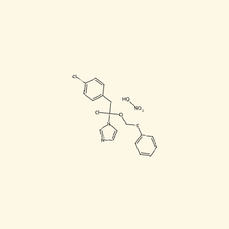 Clc1ccc(CC(Cl)(OCSc2ccccc2)n2ccnc2)cc1.O=[N+]([O-])O